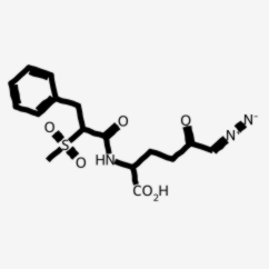 CS(=O)(=O)C(Cc1ccccc1)C(=O)NC(CCC(=O)C=[N+]=[N-])C(=O)O